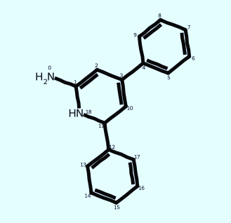 NC1=CC(c2ccccc2)=CC(c2ccccc2)N1